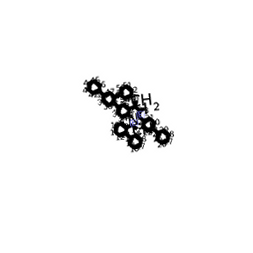 C=C(/C(I)=C(\N=C(/C)c1ccccc1-c1ccccc1)c1ccc(-c2ccccc2)cc1)c1cccc(-c2ccc(-c3ccccc3)cc2-c2ccccc2)c1